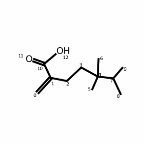 C=C(CCC(C)(C)C(C)C)C(=O)O